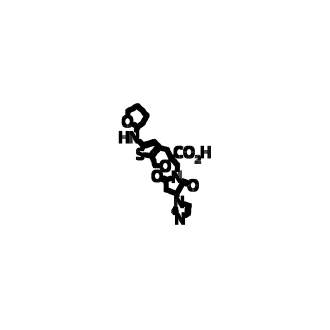 O=C1CC(n2ccnc2)C(=O)N1CC1(C(=O)O)Cc2cc(NC3CCCCO3)sc2CO1